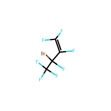 FC(F)=C(F)C(F)(Br)C(F)(F)F